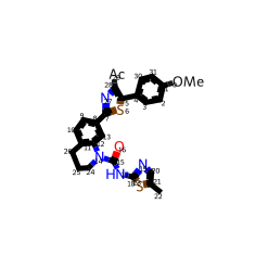 COc1ccc(-c2sc(-c3ccc4c(c3)N(C(=O)Nc3ncc(C)s3)CCC4)nc2C(C)=O)cc1